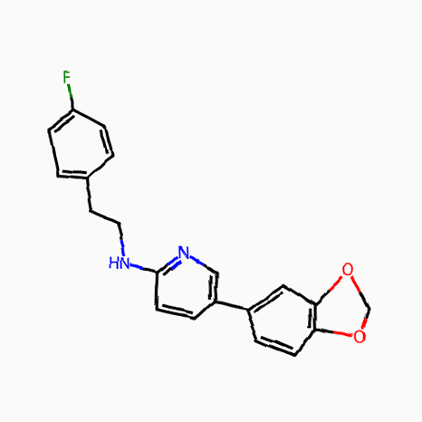 Fc1ccc(CCNc2ccc(-c3ccc4c(c3)OCO4)cn2)cc1